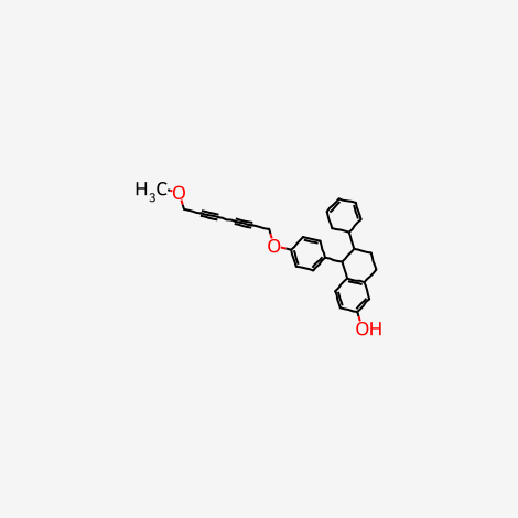 COCC#CC#CCOc1ccc(C2c3ccc(O)cc3CCC2C2C=CC=CC2)cc1